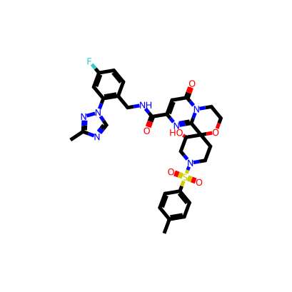 Cc1ccc(S(=O)(=O)N2CCC3(OCCn4c3nc(C(=O)NCc3ccc(F)cc3-n3cnc(C)n3)cc4=O)C(O)C2)cc1